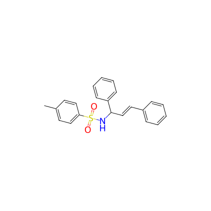 Cc1ccc(S(=O)(=O)NC(C=Cc2ccccc2)c2ccccc2)cc1